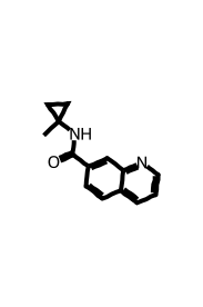 CC1(NC(=O)c2ccc3cccnc3c2)CC1